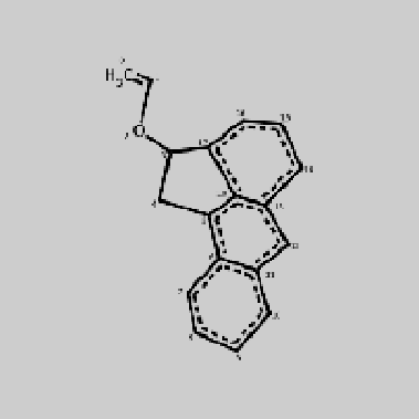 C=COC1Cc2c3ccccc3cc3cccc1c23